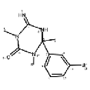 CN1C(=N)NC(C)(c2cccc(Br)c2)N(C)C1=O